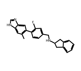 Cc1cc2[nH]cnc2cc1-c1ccc(CNC2Cc3ccccc3C2)cc1F